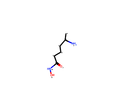 CC(N)CCCC(=O)NO